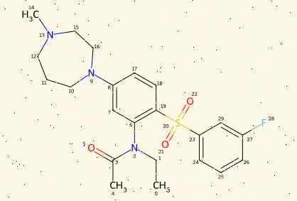 CCN(C(C)=O)c1cc(N2CCCN(C)CC2)ccc1S(=O)(=O)c1cccc(F)c1